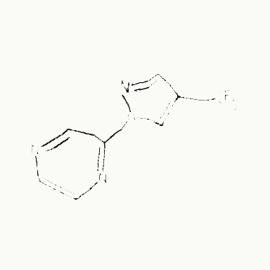 FC(F)(F)c1cnn(-c2cnccn2)c1